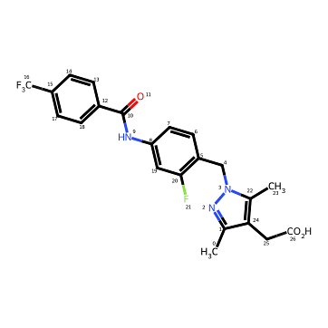 Cc1nn(Cc2ccc(NC(=O)c3ccc(C(F)(F)F)cc3)cc2F)c(C)c1CC(=O)O